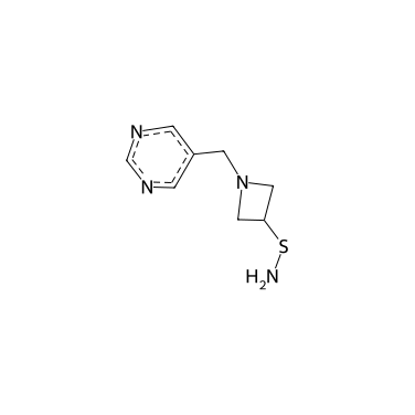 NSC1CN(Cc2cncnc2)C1